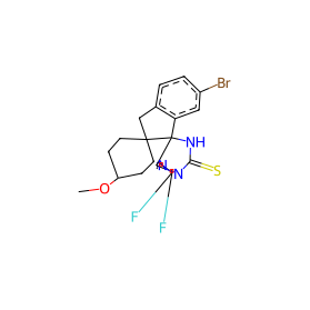 COC1CCC2(CC1)Cc1ccc(Br)cc1C21NC(=S)N2CC(F)(F)CN=C21